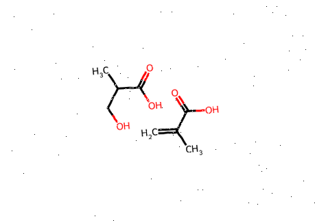 C=C(C)C(=O)O.CC(CO)C(=O)O